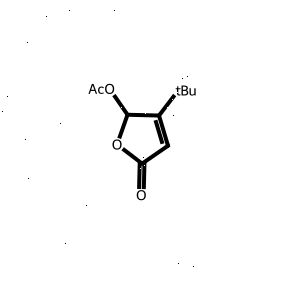 CC(=O)OC1OC(=O)C=C1C(C)(C)C